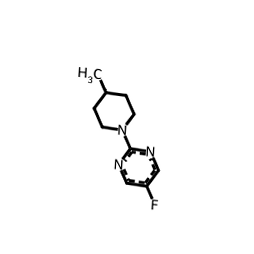 C[C]1CCN(c2ncc(F)cn2)CC1